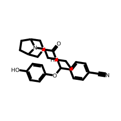 CCNC(=O)N1CC2CCC(C1)N2CCCC(Oc1ccc(O)cc1)c1ccc(C#N)cc1